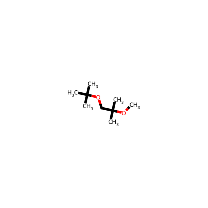 COC(C)(C)COC(C)(C)C